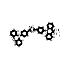 CC1(C)c2ccccc2N(c2ccc(-c3nc(-c4ccc(N5c6ccccc6Oc6ccccc65)cc4)no3)cc2)c2ccccc21